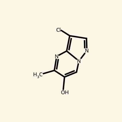 Cc1nc2c(Cl)cnn2cc1O